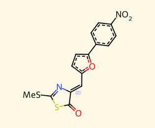 CSC1=N/C(=C\c2ccc(-c3ccc([N+](=O)[O-])cc3)o2)C(=O)S1